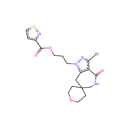 CCc1nn(CCCOC(=O)c2ccsn2)c2c1C(=O)NCC1(CCOCC1)C2